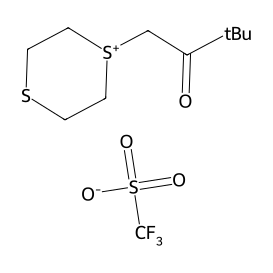 CC(C)(C)C(=O)C[S+]1CCSCC1.O=S(=O)([O-])C(F)(F)F